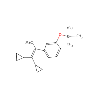 COC(=C(C1CC1)C1CC1)c1cccc(O[Si](C)(C)C(C)(C)C)c1